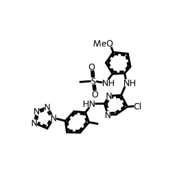 COc1ccc(Nc2nc(Nc3cc(-n4cnnn4)ccc3C)ncc2Cl)c(NS(C)(=O)=O)c1